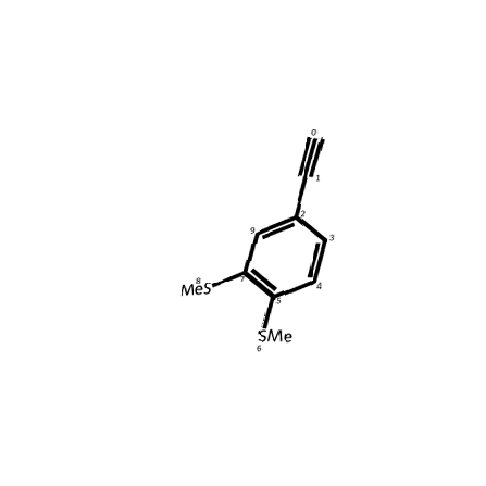 [C]#Cc1ccc(SC)c(SC)c1